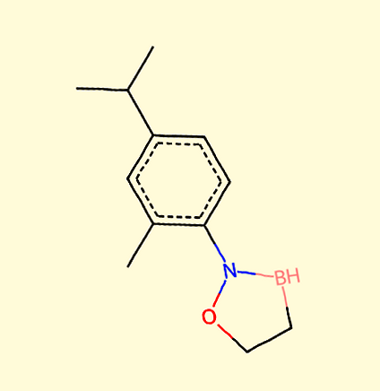 Cc1cc(C(C)C)ccc1N1BCCO1